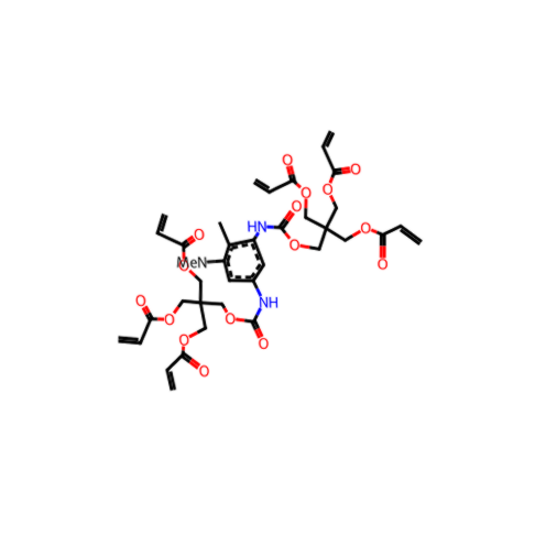 C=CC(=O)OCC(COC(=O)C=C)(COC(=O)C=C)COC(=O)Nc1cc(NC)c(C)c(NC(=O)OCC(COC(=O)C=C)(COC(=O)C=C)COC(=O)C=C)c1